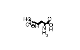 NC(C=CCP(=O)(O)O)C(=O)O